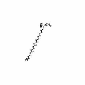 C=C=C(CCCCCCCCCCCCCCCCCCC=O)N=O